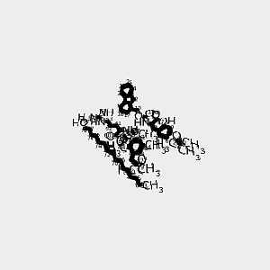 CC(C)(C)Oc1ccc(CC(NC(=O)OCc2cccc3c2Cc2ccccc2-3)C(=O)O)cc1.CC1=C2OC(C)(C)CC2C(C)C(S(=O)(=O)NC(CCCNC(=N)N)C(=O)O)=C1C.CCCCCCCCCCCCCCCCO